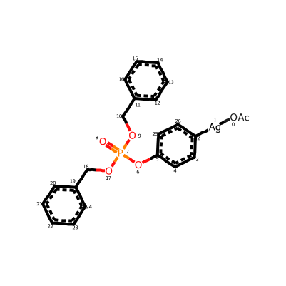 CC(=O)[O][Ag][c]1ccc(OP(=O)(OCc2ccccc2)OCc2ccccc2)cc1